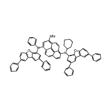 CCCCc1cc(N(c2ccccc2)c2cc(-c3ccccc3)cc3c2oc2ccc(-c4ccccc4)cc23)c2ccc3ccc(N(c4cc(-c5ccccc5)cc5c4oc4ccc(-c6ccccc6)cc45)C4CCCCC4)c4ccc1c2c34